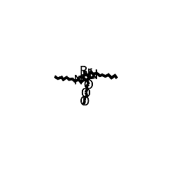 CCCCCCCCN1Cc2c(Br)c3c(c(OCCOCCOC)c2C1)CN(CCCCCCCC)C3